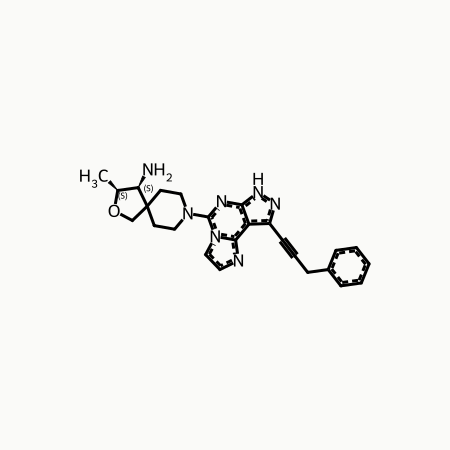 C[C@@H]1OCC2(CCN(c3nc4[nH]nc(C#CCc5ccccc5)c4c4nccn34)CC2)[C@@H]1N